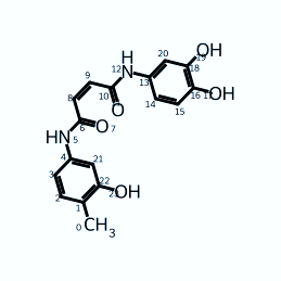 Cc1ccc(NC(=O)/C=C\C(=O)Nc2ccc(O)c(O)c2)cc1O